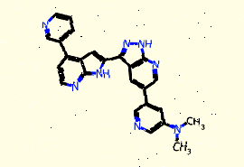 CN(C)c1cncc(-c2cnc3[nH]nc(-c4cc5c(-c6cccnc6)ccnc5[nH]4)c3c2)c1